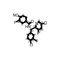 N#Cc1ccc(C(=O)N[C@@H](c2ccc(Cl)c(F)c2)c2ncc(Cl)cc2F)cc1F